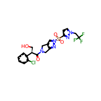 O=C([C@H](CO)c1ccccc1Cl)N1Cc2cn(S(=O)(=O)c3ccn(CC(F)(F)F)n3)nc2C1